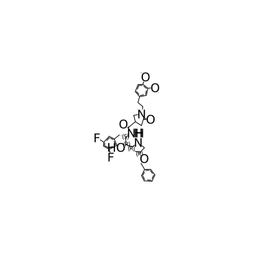 COc1ccc(CCN2CC(C(=O)N[C@@H](Cc3cc(F)cc(F)c3)[C@H](O)[C@H]3C[C@@H](OCc4ccccc4)CN3)CC2=O)cc1OC